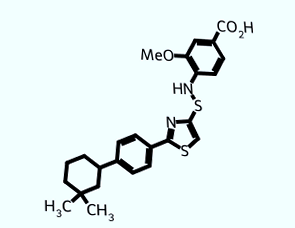 COc1cc(C(=O)O)ccc1NSc1csc(-c2ccc(C3CCCC(C)(C)C3)cc2)n1